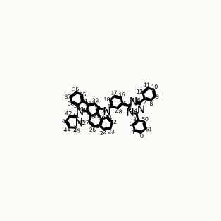 c1ccc(-c2nc(-c3ccccc3)nc(-c3cccc(-n4c5cccc6ccc7c(c65)c4cc4c5ccccc5n(-c5ccccn5)c47)c3)n2)cc1